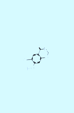 O=C1NCOc2cc(O)c(Cl)cc21